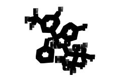 CN[C@H](C(=O)N[C@](Cc1ccccc1)(c1ccc(F)cc1)c1cc(F)cc(C(F)(F)F)c1)C(O)(C(F)(F)F)C(F)(F)F